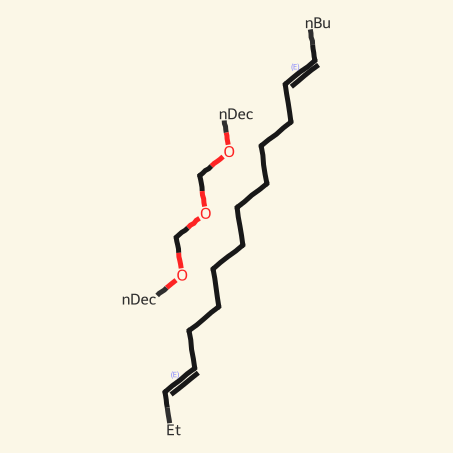 CC/C=C/CCCCCCCC/C=C/CCCC.CCCCCCCCCCOCOCOCCCCCCCCCC